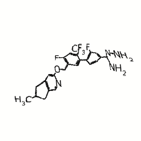 CC1Cc2cnc(OCc3cc(-c4ccc(/C(N)=N/N)cc4F)c(C(F)(F)F)cc3F)cc2C1